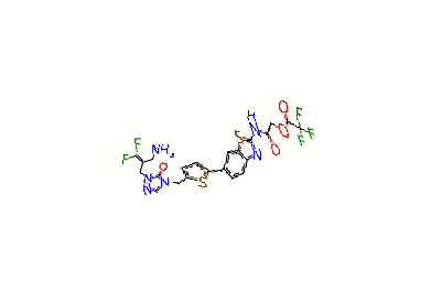 NCC(Cn1ncn(Cc2ccc(-c3ccc4nc(NC(=O)COC(=O)C(F)(F)F)sc4c3)s2)c1=O)=C(F)F